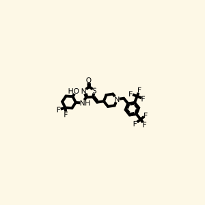 O=C1N=C(NC2CC(F)(F)CCC2O)C(=CC2CCN(Cc3ccc(C(F)(F)F)cc3C(F)(F)F)CC2)S1